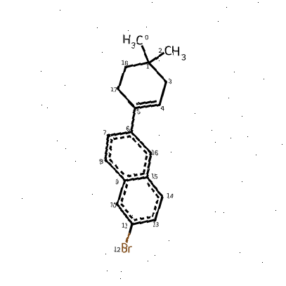 CC1(C)CC=C(c2ccc3cc(Br)ccc3c2)CC1